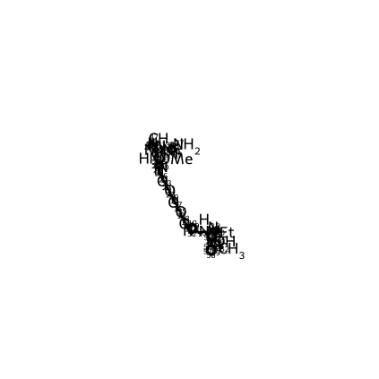 CCc1cnn2c(NCc3ccc(OCCOCCOCCOCCOCCn4cc(Nc5nc(N6C[C@@H](N)[C@H](F)C6)nc6c5ncn6C)c(OC)n4)nc3)cc(N3CCCC[C@H]3C(C)O)nc12